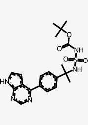 CC(C)(C)OC(=O)NS(=O)(=O)NC(C)(C)c1ccc(-c2ncnc3[nH]ccc23)cc1